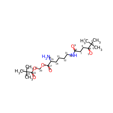 CC(C)(C)C(=O)CCC(=O)NCCCC[C@H](N)C(=O)OCOC(=O)C(C)(C)C